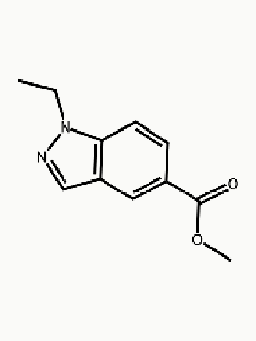 CCn1ncc2cc(C(=O)OC)ccc21